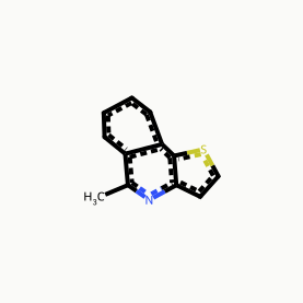 Cc1nc2ccsc2c2ccccc12